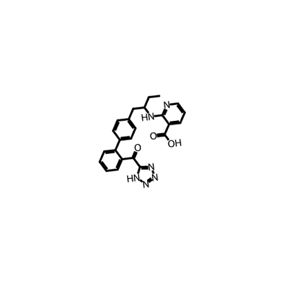 CCC(Cc1ccc(-c2ccccc2C(=O)c2nnn[nH]2)cc1)Nc1ncccc1C(=O)O